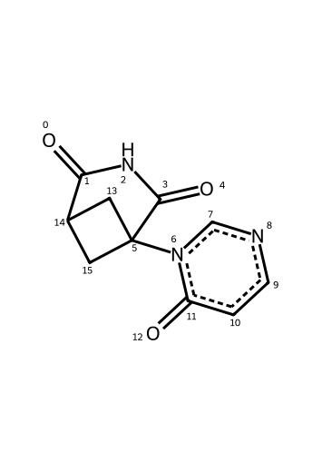 O=C1NC(=O)C2(n3cnccc3=O)CC1C2